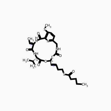 C/C=C1\NC(=O)c2nc(ccc2SC)CNC(=O)C[C@@H](/C=C/CCSC(=O)CCCC)OC(=O)[C@H](C(C)C)NC1=O